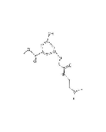 COC(=O)c1cc(O)cc(OCC(=O)NCCN(C)C)c1